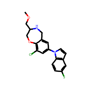 COCC1COc2c(Cl)cc(-n3ccc4cc(F)ccc43)cc2CN1